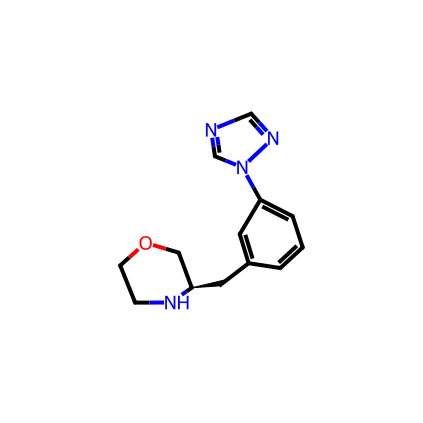 c1cc(C[C@@H]2COCCN2)cc(-n2cncn2)c1